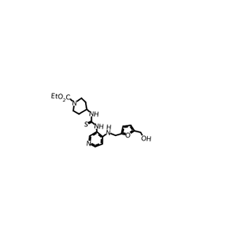 CCOC(=O)N1CCC(NC(=S)Nc2cnccc2NCc2ccc(CO)o2)CC1